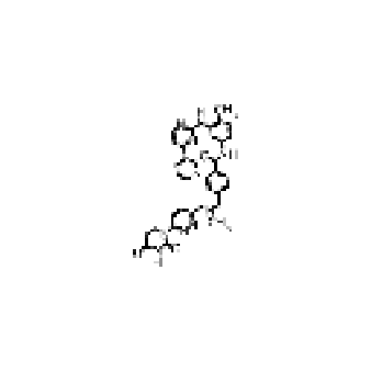 Cc1ccc(NC(=O)c2ccc(CN(C)Cc3ccc(N4CCC(=O)NC4=O)nn3)cc2)cc1Nc1nccc(-c2cccnc2)n1